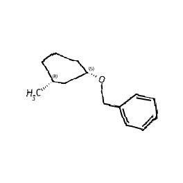 C[C@@H]1CCC[C@H](OCc2ccccc2)C1